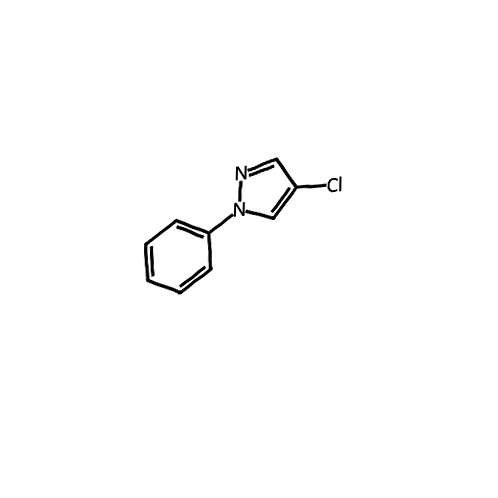 Clc1cnn(-c2ccccc2)c1